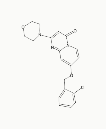 O=c1cc(N2CCOCC2)nc2cc(OCc3ccccc3Cl)ccn12